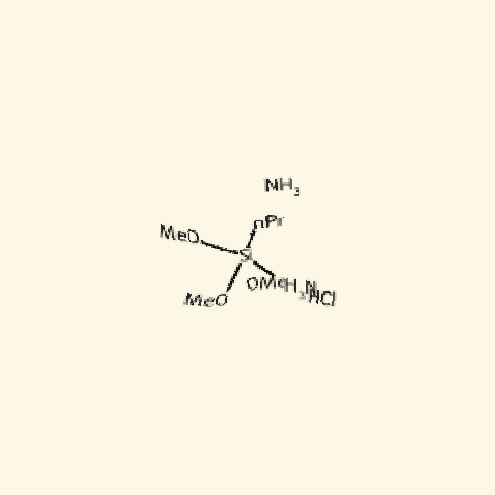 CCC[Si](OC)(OC)OC.Cl.N.N